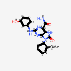 COc1ccccc1-n1c(=O)[nH]c2c(C(N)=O)nc(Nc3cccc(O)c3)nc21